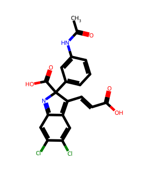 CC(=O)Nc1cccc(C2(C(=O)O)N=c3cc(Cl)c(Cl)cc3=C2C=CC(=O)O)c1